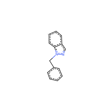 [c]1ccc2cnn(Cc3ccccc3)c2c1